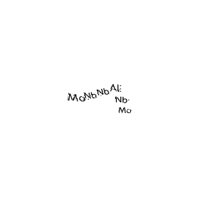 [Al].[Mo].[Mo].[Nb].[Nb].[Nb]